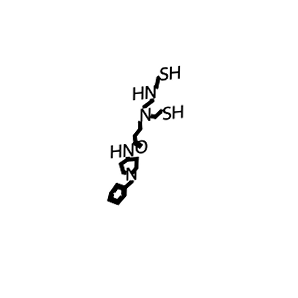 O=C(CCCN(CCS)CCNCCS)NC1CCN(Cc2ccccc2)CC1